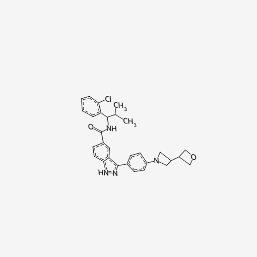 CC(C)C(NC(=O)c1ccc2[nH]nc(-c3ccc(N4CC(C5COC5)C4)cc3)c2c1)c1ccccc1Cl